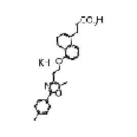 Cc1ccc(-c2nc(CCOc3cccc4c3CCC=C4CCC(=O)O)c(C)o2)cc1.[KH]